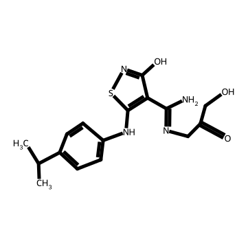 CC(C)c1ccc(Nc2snc(O)c2C(N)=NCC(=O)CO)cc1